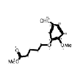 COC(=O)CCCCOc1cc(C=O)ccc1OC